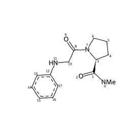 CNC(=O)[C@@H]1CCCN1C(=O)CNc1ccccc1